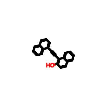 Oc1ccc2ccccc2c1C#Cc1cccc2ccccc12